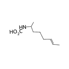 CC=CCCCC(C)NC(=O)O